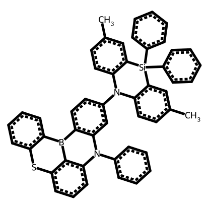 Cc1ccc2c(c1)[Si](c1ccccc1)(c1ccccc1)c1cc(C)ccc1N2c1ccc2c(c1)N(c1ccccc1)c1cccc3c1B2c1ccccc1S3